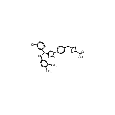 Cc1ccc(NC(c2cccc(Cl)c2)c2cc(-c3ccc(CN4CC(C(=O)O)C4)cc3)no2)cc1C